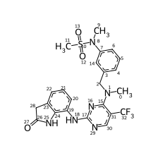 CN(Cc1cccc(N(C)S(C)(=O)=O)c1)c1nc(Nc2cccc3c2NC(=O)C3)ncc1C(F)(F)F